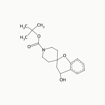 CC(C)(C)OC(=O)N1CCC2(CC1)CC(O)c1ccccc1O2